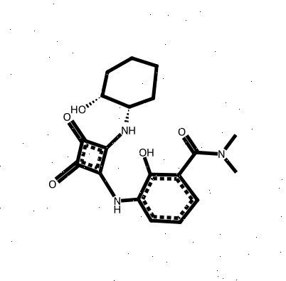 CN(C)C(=O)c1cccc(Nc2c(N[C@H]3CCCC[C@H]3O)c(=O)c2=O)c1O